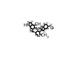 Cc1ncc(C#N)c(Nc2ccc3[nH]ccc3c2C)c1-c1cc2cc(C=O)ccc2o1